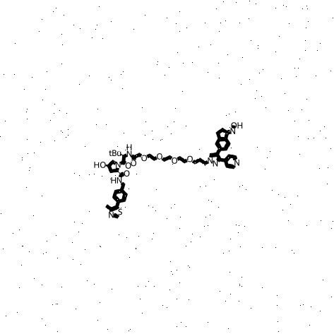 Cc1ncsc1-c1ccc(CNC(=O)[C@@H]2C[C@@H](O)CN2C(=O)[C@@H](NC(=O)COCCOCCOCCOCCCn2cc(-c3ccc4c(c3)CC/C4=N\O)c(-c3ccncc3)n2)C(C)(C)C)cc1